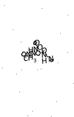 Cc1ccccc1N1CCN(c2ccc(C(=O)NCCCn3cccc3)cc2NC(=O)c2ccco2)CC1